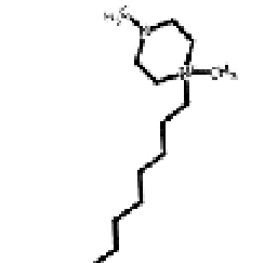 CCCCCCCCCCCCCCCC[N+]1(C)CCN(C)CC1